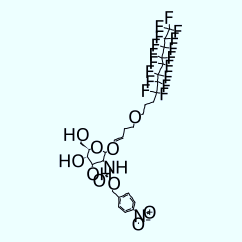 O=C(N[C@H]1[C@H](OC=CCCOCCCC(F)(F)C(F)(F)C(F)(F)C(F)(F)C(F)(F)C(F)(F)C(F)(F)C(F)(F)F)O[C@H](CO)[C@@H](O)[C@@H]1O)OCc1ccc([N+](=O)[O-])cc1